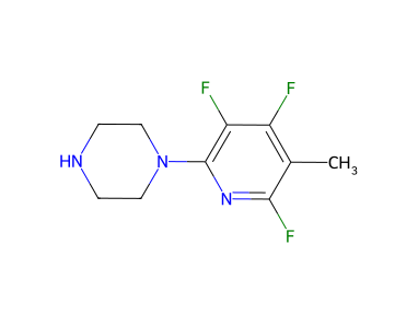 Cc1c(F)nc(N2CCNCC2)c(F)c1F